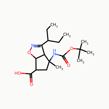 CCC(CC)C1=NOC2C(C(=O)O)CC(C)(NC(=O)OC(C)(C)C)C12